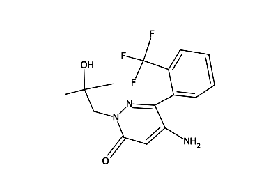 CC(C)(O)Cn1nc(-c2ccccc2C(F)(F)F)c(N)cc1=O